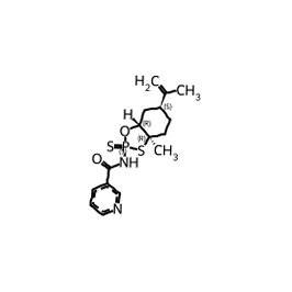 C=C(C)[C@H]1CC[C@@]2(C)S[P@@](=S)(NC(=O)c3cccnc3)O[C@@H]2C1